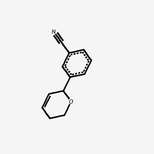 N#Cc1cccc(C2C=CCCO2)c1